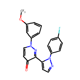 O=c1ccn(-c2cccc(OC(F)(F)F)c2)nc1-c1ccnn1-c1ccc(F)cc1